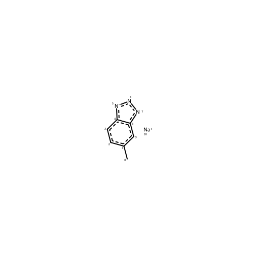 Cc1ccc2[n-]nnc2c1.[Na+]